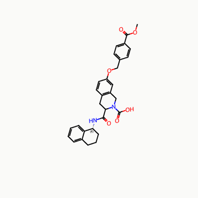 COC(=O)c1ccc(COc2ccc3c(c2)CN(C(=O)O)C(C(=O)N[C@@H]2CCCc4ccccc42)C3)cc1